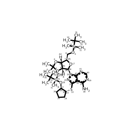 CC1(C)O[C@@H]2[C@H](O1)[C@@H](CO[Si](C)(C)C(C)(C)C)O[C@H]2n1nc(S[C@@H]2CCC[C@H]2O[Si](C)(C)C(C)(C)C)c2c(N)ncnc21